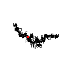 CC1(C)COCC1n1c(Cc2cc(F)c(-c3cccc(OCc4cnc(-n5ccnc5)cc4Cl)n3)cc2F)nc2c(F)cc(C(=O)OC(=O)c3cc(F)c4nc(Cc5cc(F)c(-c6cccc(OCc7cnc(-n8ccnc8)cc7Cl)n6)cc5F)n(C5COCC5(C)C)c4c3)cc21